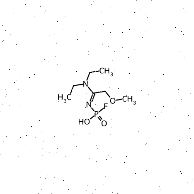 CCN(CC)C(COC)=NP(=O)(O)F